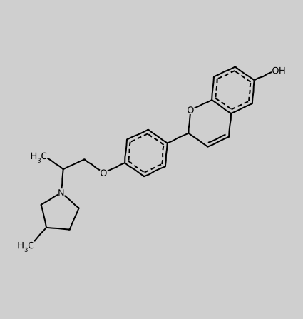 CC1CCN(C(C)COc2ccc(C3C=Cc4cc(O)ccc4O3)cc2)C1